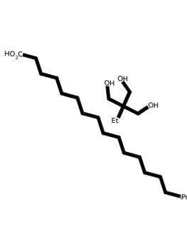 CC(C)CCCCCCCCCCCCCCC(=O)O.CCC(CO)(CO)CO